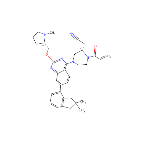 C=CC(=O)N1CCN(c2nc(OC[C@@H]3CCCN3C)nc3cc(-c4cccc5c4CC(C)(C)C5)ccc23)C[C@@H]1CC#N